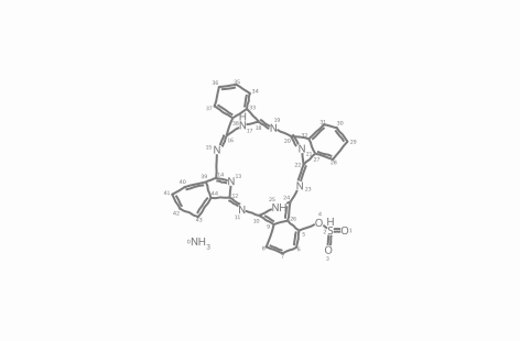 N.O=[SH](=O)Oc1cccc2c3nc4nc(nc5[nH]c(nc6nc(nc([nH]3)c12)-c1ccccc1-6)c1ccccc51)-c1ccccc1-4